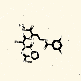 CCCCCC(=O)N1CCC[C@H]1C(=O)N(C)C(C(=O)NC(CCNC(=O)c1cc(F)cc(F)c1)C(=O)NO)C(C)CC